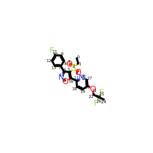 CCS(=O)(=O)c1c(-c2ccc(F)cc2)noc1-c1ccc(OCC(C)(F)F)cn1